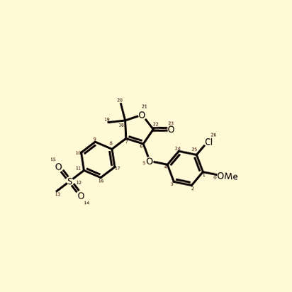 COc1ccc(OC2=C(c3ccc(S(C)(=O)=O)cc3)C(C)(C)OC2=O)cc1Cl